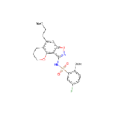 COCCc1cc2onc(NS(=O)(=O)c3cc(F)ccc3OC)c2c2c1CCCO2